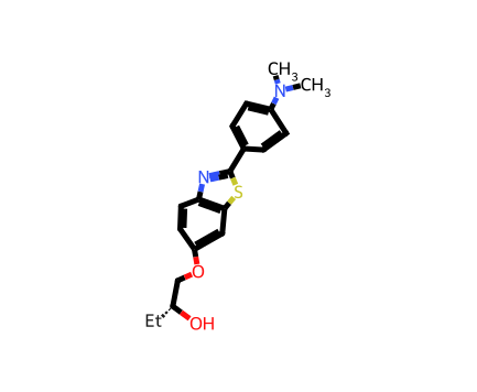 CC[C@@H](O)COc1ccc2nc(-c3ccc(N(C)C)cc3)sc2c1